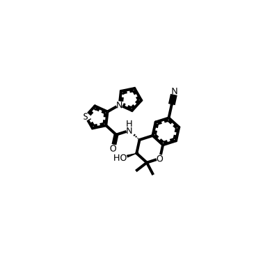 CC1(C)Oc2ccc(C#N)cc2[C@@H](NC(=O)c2cscc2-n2cccc2)[C@@H]1O